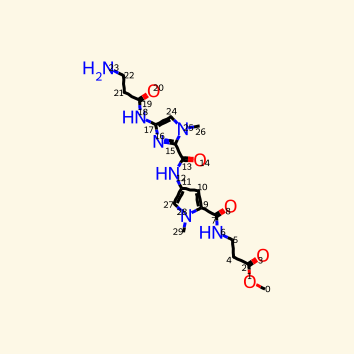 COC(=O)CCNC(=O)c1cc(NC(=O)c2nc(NC(=O)CCN)cn2C)cn1C